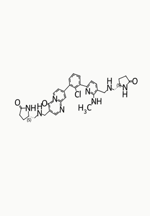 CNc1nc(-c2cccc(-c3ccn4c(=O)c(CNC[C@@H]5CCC(=O)N5)cnc4c3)c2Cl)ccc1CNC[C@@H]1CCC(=O)N1